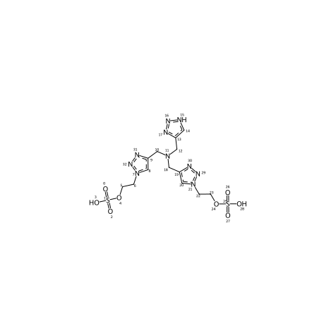 O=S(=O)(O)OCCn1cc(CN(Cc2c[nH]nn2)Cc2cn(CCOS(=O)(=O)O)nn2)nn1